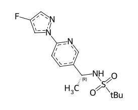 C[C@@H](NS(=O)(=O)C(C)(C)C)c1ccc(-n2cc(F)cn2)nc1